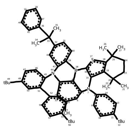 Cc1cc2c3c(c1)N(c1ccc(C(C)(C)C)cc1)c1c(sc4c1C(C)(C)CCC4(C)C)B3c1ccc(C(C)(C)c3ccccc3)cc1N2c1ccc(C(C)(C)C)cc1-c1ccc(C(C)(C)C)cc1